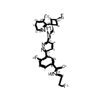 O=C(NCCF)c1ccc(F)c(-c2ccc(NC[C@]3(c4ncccc4F)C[C@H](F)C3)nn2)c1